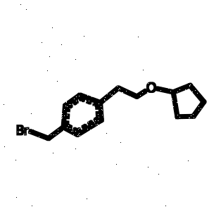 BrCc1ccc(CCOC2CCCC2)cc1